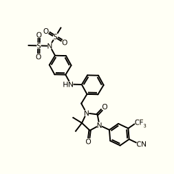 CC1(C)C(=O)N(c2ccc(C#N)c(C(F)(F)F)c2)C(=O)N1Cc1ccccc1Nc1ccc(N(S(C)(=O)=O)S(C)(=O)=O)cc1